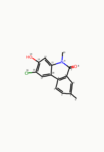 Cc1ccc2c(c1)c(=O)n(C)c1cc(O)c(Cl)cc21